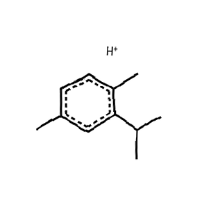 Cc1ccc(C)c(C(C)C)c1.[H+]